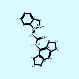 O=C(/N=S1\NCc2ccccc21)Nc1c2c(cc3c1CCC3)CCC2